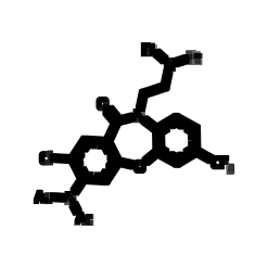 CCN(CC)CCN1C(=O)c2cc(Cl)c(N(C(C)=O)C(C)=O)cc2Oc2cc(C(F)(F)F)ccc21